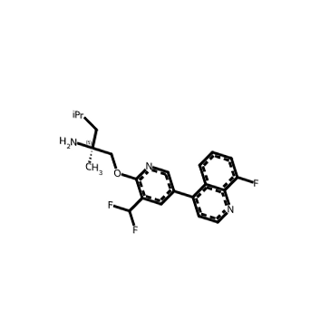 CC(C)C[C@](C)(N)COc1ncc(-c2ccnc3c(F)cccc23)cc1C(F)F